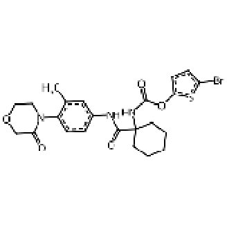 Cc1cc(NC(=O)C2(NC(=O)Oc3ccc(Br)s3)CCCCC2)ccc1N1CCOCC1=O